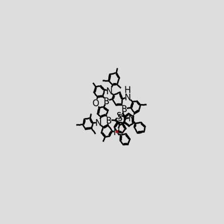 Cc1cc(C)c(N2c3cc4c(cc3B3c5cc6c(cc5Oc5cc(C)cc2c53)N(c2c(C)cc(C)cc2C)c2cc(C)cc3c2B6c2sc5ccccc5c2N3c2ccccc2)B2c3sc5ccccc5c3N(c3ccccc3)c3cc(C)cc(c32)N4)c(C)c1